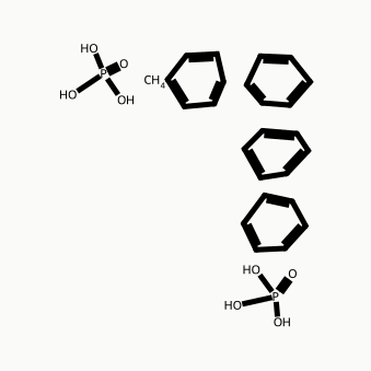 C.O=P(O)(O)O.O=P(O)(O)O.c1ccccc1.c1ccccc1.c1ccccc1.c1ccccc1